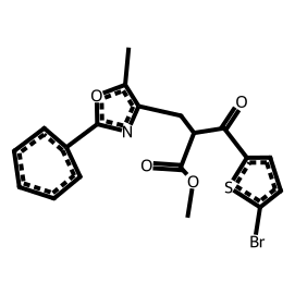 COC(=O)C(Cc1nc(-c2ccccc2)oc1C)C(=O)c1ccc(Br)s1